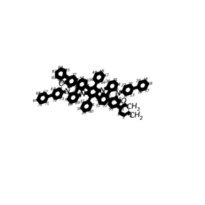 C=C/C=C\c1c(C)oc2c(N(c3ccc(-c4ccccc4)cc3)c3cccc4c3c3cccc5c6c(-c7ccccc7)c7c(c(-c8ccccc8)c6n4c35)c3cccc4c5c(N(c6ccc(-c8ccccc8)cc6)c6cccc8c6oc6ccccc68)cccc5n7c43)cccc12